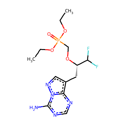 CCOP(=O)(CO[C@@H](Cc1cnn2c(N)ncnc12)C(F)F)OCC